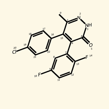 Cc1n[nH]c(=O)c(-c2cc(F)ccc2F)c1-c1ccc(Cl)cc1